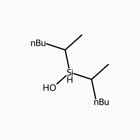 CCCCC(C)[SiH](O)C(C)CCCC